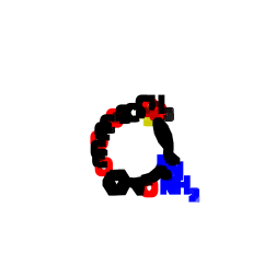 CC1CCOCCOCCOc2cccc(c2)-c2coc(c2)-c2nc(cnc2N)-c2ccc(cc2)S1(=O)=O